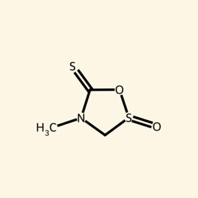 CN1CS(=O)OC1=S